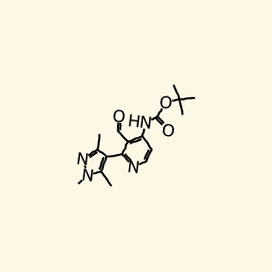 Cc1nn(C)c(C)c1-c1nccc(NC(=O)OC(C)(C)C)c1C=O